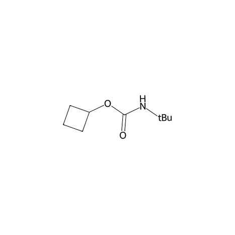 CC(C)(C)NC(=O)OC1CCC1